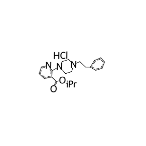 CC(C)OC(=O)c1cccnc1N1CCN(CCc2ccccc2)CC1.Cl